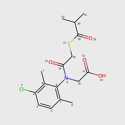 Cc1ccc(Cl)c(C)c1N(CC(=O)O)C(=O)CSC(=O)C(C)C